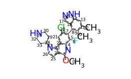 COc1nc2c(F)c(-c3c(C)c(C)cc4[nH]ncc34)c(Cl)cc2c2c1ccn2C1CCNCC1